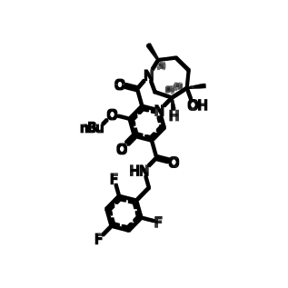 CCCCOc1c2n(cc(C(=O)NCc3c(F)cc(F)cc3F)c1=O)[C@@H]1CN(C2=O)[C@@H](C)CC[C@]1(C)O